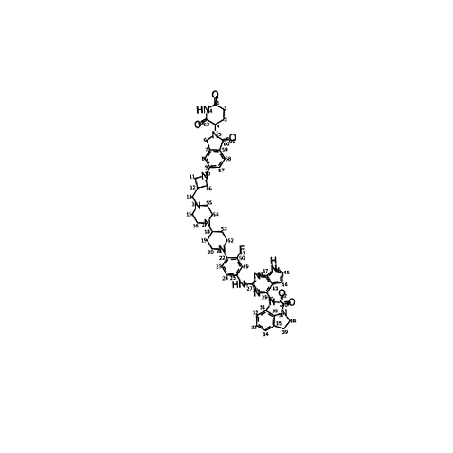 O=C1CCC(N2Cc3cc(N4CC(CN5CCN(C6CCN(c7ccc(Nc8nc(N9c%10cccc%11c%10N(CC%11)S9(=O)=O)c9cc[nH]c9n8)cc7F)CC6)CC5)C4)ccc3C2=O)C(=O)N1